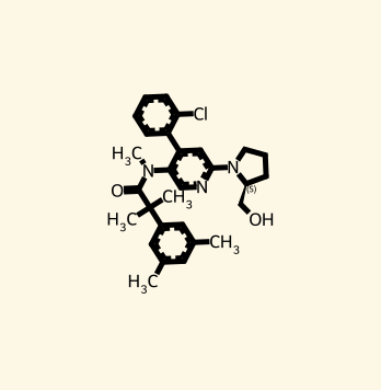 Cc1cc(C)cc(C(C)(C)C(=O)N(C)c2cnc(N3CCC[C@H]3CO)cc2-c2ccccc2Cl)c1